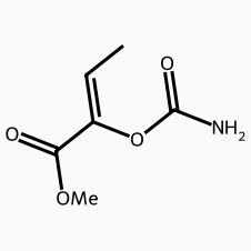 CC=C(OC(N)=O)C(=O)OC